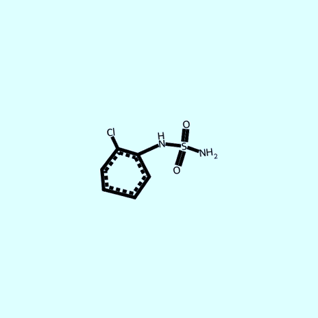 NS(=O)(=O)Nc1ccccc1Cl